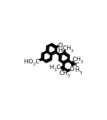 Cc1cc2c(cc1-c1c(O)ccc3cc(C(=O)O)ccc13)C(C)(C)COC2(C)C